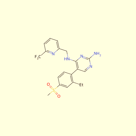 CCc1cc(S(C)(=O)=O)ccc1-c1cnc(N)nc1NCc1cccc(C(F)(F)F)n1